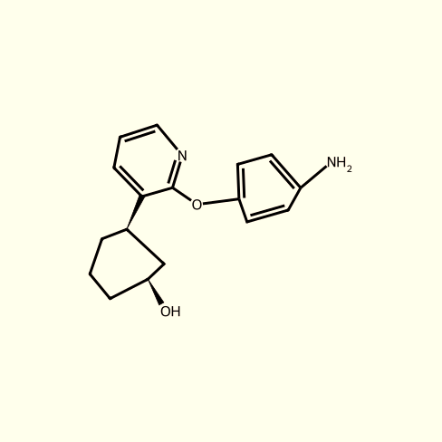 Nc1ccc(Oc2ncccc2[C@@H]2CCC[C@H](O)C2)cc1